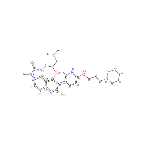 CN(C)CC1Cn2c(=O)n(C)c3cnc4cc(F)c(-c5ccc(OCCCN6CCCCC6)nc5)c(c4c32)O1